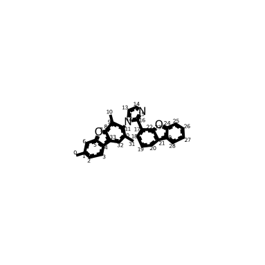 Cc1ccc2c(c1)oc1c(C)c(-n3ccnc3-c3cccc4c3oc3ccccc34)c(C)cc12